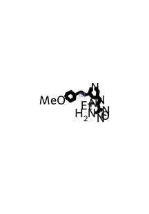 CCn1c(-c2nonc2N)nc2cncc(/C=C/c3ccc(OC)cc3)c21